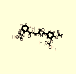 CC(C)Oc1cc(-c2nc(CNC(=O)c3ccccc3OS(=O)(=O)O)co2)ccc1OC(F)F